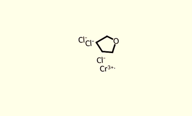 C1CCOC1.[Cl-].[Cl-].[Cl-].[Cr+3]